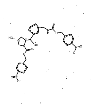 O=C(NCc1cccc(C(O)[C@@H]2C[C@@H](O)CN2C(=O)OCc2ccc([N+](=O)[O-])cc2)c1)OCc1ccc([N+](=O)[O-])cc1